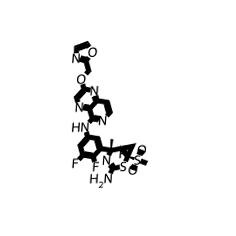 C[C@]1(c2cc(Nc3nccc4nc(OCc5ncco5)cnc34)cc(F)c2F)N=C(N)S[C@@]2(S(C)(=O)=O)C[C@H]21